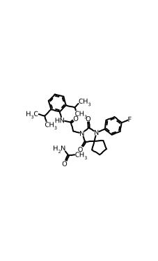 CC(C)c1cccc(C(C)C)c1NC(=O)CN1C(=O)N(c2ccc(F)cc2)C2(CCCC2)C1=O.CC(N)=O